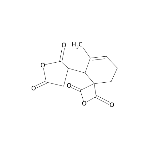 CC1=CCCC2(C(=O)OC2=O)C1C1CC(=O)OC1=O